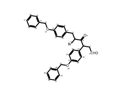 O=CCC(C(=O)C(Br)Cc1ccc(OCc2ccccc2)cc1)c1ccc(OCc2ccccc2)cc1